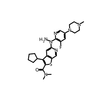 CN1CCN(c2cnc(N(N)c3cc4c(C5CCCC5)c(C(=O)N(C)C)sc4cn3)c(F)c2)CC1